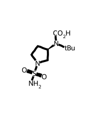 CC(C)(C)N(C(=O)O)[C@@H]1CCN(S(N)(=O)=O)C1